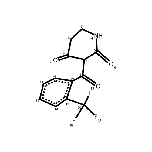 O=C1CCNC(=O)C1C(=O)c1ccccc1C(F)(F)F